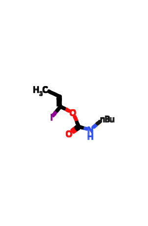 CC=C(I)OC(=O)NCCCC